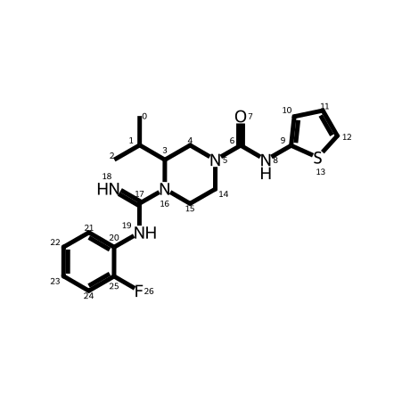 CC(C)C1CN(C(=O)Nc2cccs2)CCN1C(=N)Nc1ccccc1F